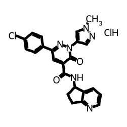 Cl.Cn1cc(-n2nc(-c3ccc(Cl)cc3)cc(C(=O)NC3CCc4ncccc43)c2=O)cn1